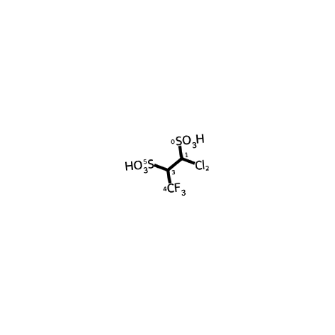 O=S(=O)(O)C(Cl)C(C(F)(F)F)S(=O)(=O)O